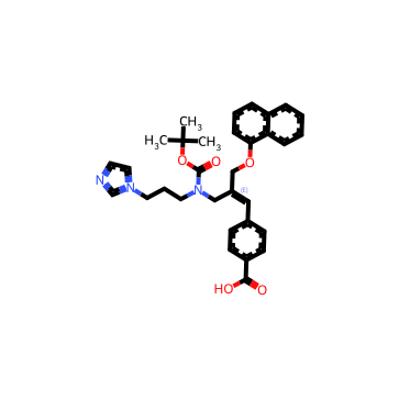 CC(C)(C)OC(=O)N(CCCn1ccnc1)C/C(=C\c1ccc(C(=O)O)cc1)COc1cccc2ccccc12